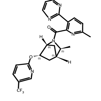 Cc1ccc(-c2ncccn2)c(C(=O)N2[C@@H]3C[C@@H](C[C@@H]3Oc3ccc(C(F)(F)F)cn3)[C@@H]2C)n1